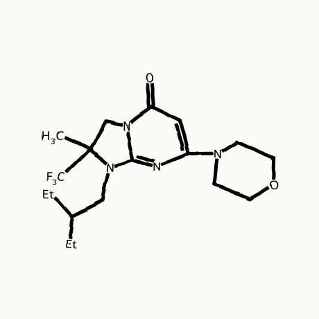 CCC(CC)CN1c2nc(N3CCOCC3)cc(=O)n2CC1(C)C(F)(F)F